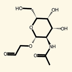 CC(=O)N[C@H]1[C@H](OCC=O)O[C@H](CO)[C@H](O)[C@@H]1O